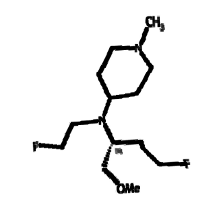 COC[C@@H](CCF)N(CCF)C1CCN(C)CC1